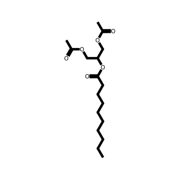 CCCCCCCCCC(=O)OC(COC(C)=O)COC(C)=O